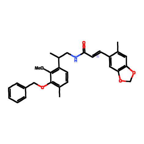 COc1c(C(C)CNC(=O)/C=C/c2cc3c(cc2C)OCO3)ccc(C)c1OCc1ccccc1